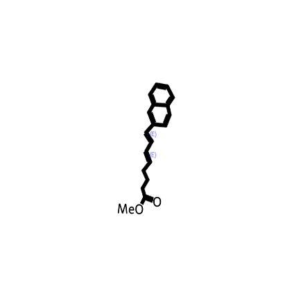 COC(=O)CCC/C=C/C=C/c1ccc2ccccc2c1